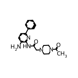 CC(=O)N1CCN(CC(=O)Nc2nc(-c3c#cccc3)ccc2N)CC1